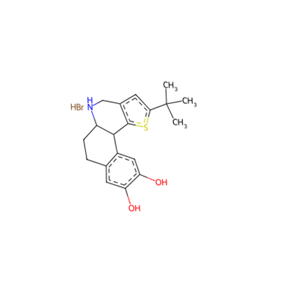 Br.CC(C)(C)c1cc2c(s1)C1c3cc(O)c(O)cc3CCC1NC2